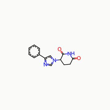 O=C1CCC(n2cnc(-c3ccccc3)c2)C(=O)N1